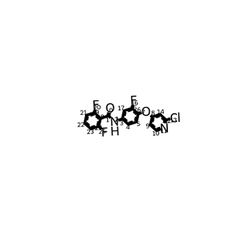 O=C(Nc1ccc(Oc2ccnc(Cl)c2)c(F)c1)c1c(F)cccc1F